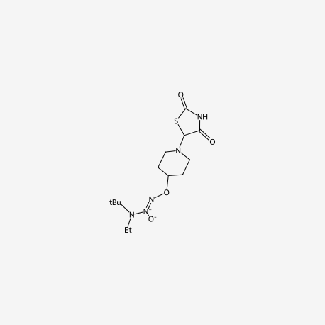 CCN(/[N+]([O-])=N/OC1CCN(C2SC(=O)NC2=O)CC1)C(C)(C)C